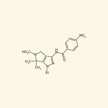 CCn1nc(NC(=O)c2ccc([N+](=O)[O-])cc2)c2c1C(C)(C)N(C(=O)O)C2